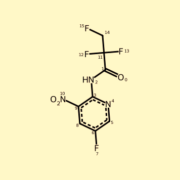 O=C(Nc1ncc(F)cc1[N+](=O)[O-])C(F)(F)CF